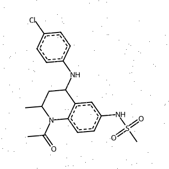 CC(=O)N1c2ccc(NS(C)(=O)=O)cc2C(Nc2ccc(Cl)cc2)CC1C